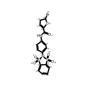 O=C(Nc1ccc(N2S(=O)(=O)c3ccccc3S2(=O)=O)cc1)C1=CCC(Br)O1